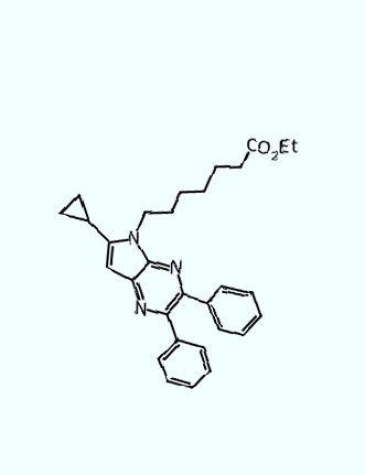 CCOC(=O)CCCCCCn1c(C2CC2)cc2nc(-c3ccccc3)c(-c3ccccc3)nc21